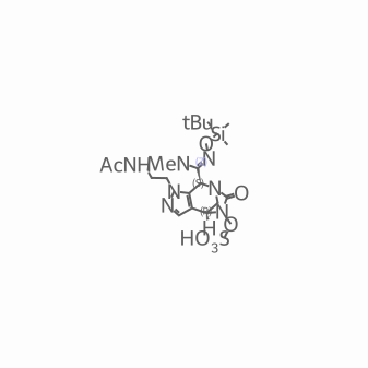 CN/C(=N\O[Si](C)(C)C(C)(C)C)[C@@H]1c2c(cnn2CCNC(C)=O)[C@@H]2CN1C(=O)N2OS(=O)(=O)O